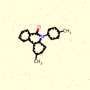 Cc1ccc(-n2c(=O)c3ccccc3c3cc(C)ccc32)cc1